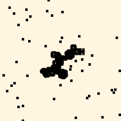 CCC(CC(=O)OC(CC(=O)OC(CCc1ccc(C(=O)O)cc1)CC(C)=O)CC1CCCCC1)OC